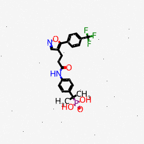 CC(C)(c1ccc(NC(=O)CCc2cnoc2-c2ccc(C(F)(F)F)cc2)cc1)P(=O)(O)O